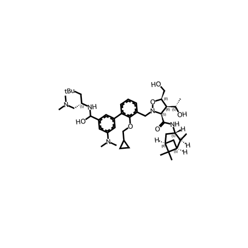 C[C@@H]1[C@@H](NC(=O)[C@@H]2[C@H]([C@H](C)O)[C@H](CO)ON2Cc2cccc(-c3cc(C(O)N[C@H](CN(C)C)CC(C)(C)C)cc(N(C)C)c3)c2OCC2CC2)C[C@H]2C[C@@H]1C2(C)C